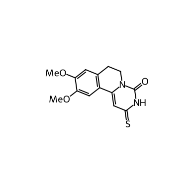 COc1cc2c(cc1OC)-c1cc(=S)[nH]c(=O)n1CC2